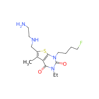 CCn1c(=O)c2c(C)c(CNCCN)sc2n(CCCCF)c1=O